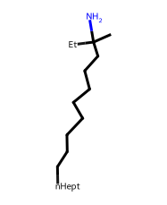 CCCCCCCCCCCCCCCC(C)(N)CC